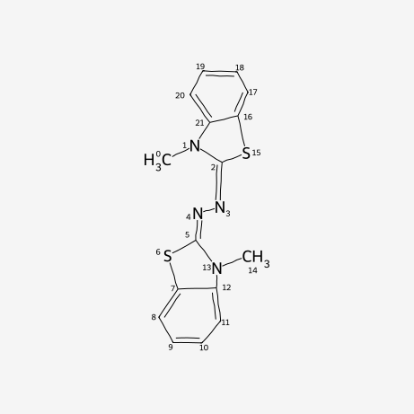 Cn1c(=NN=c2sc3ccccc3n2C)sc2ccccc21